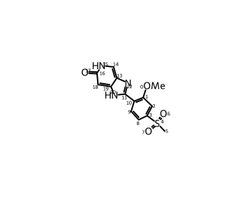 COc1cc(S(C)(=O)=O)ccc1-c1nc2c[nH]c(=O)cc2[nH]1